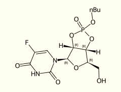 CCCCOP1(=O)O[C@@H]2[C@H](O1)[C@@H](CO)O[C@H]2n1cc(F)c(=O)[nH]c1=O